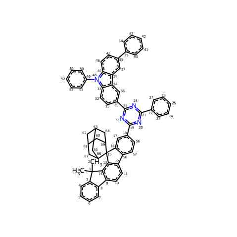 CC1(C)c2ccccc2-c2ccc3c(c21)C1(c2cc(-c4nc(-c5ccccc5)nc(-c5ccc6c(c5)c5cc(-c7ccccc7)ccc5n6-c5ccccc5)n4)ccc2-3)C2CC3CC(C2)CC1C3